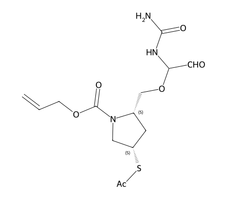 C=CCOC(=O)N1C[C@@H](SC(C)=O)C[C@H]1COC(C=O)NC(N)=O